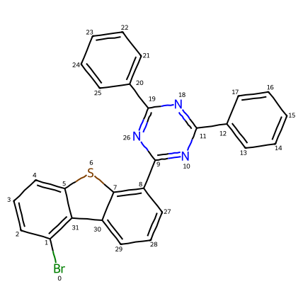 Brc1cccc2sc3c(-c4nc(-c5ccccc5)nc(-c5ccccc5)n4)cccc3c12